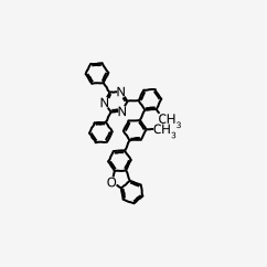 Cc1cc(-c2ccc3oc4ccccc4c3c2)ccc1-c1c(C)cccc1-c1nc(-c2ccccc2)nc(-c2ccccc2)n1